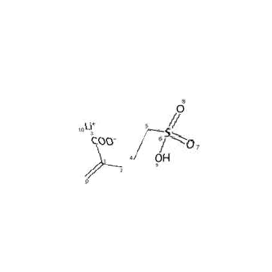 C=C(C)C(=O)[O-].CCS(=O)(=O)O.[Li+]